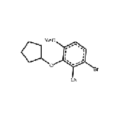 COc1ccc(Br)c(C#N)c1OC1CCCC1